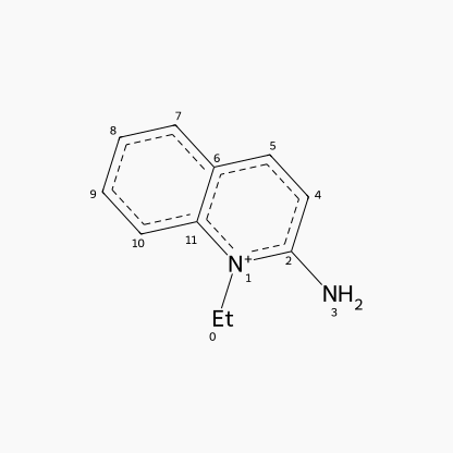 CC[n+]1c(N)ccc2ccccc21